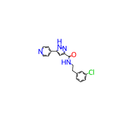 O=C(NCCc1cccc(Cl)c1)c1cc(-c2ccncc2)[nH]n1